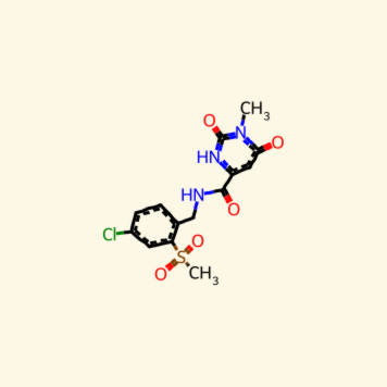 Cn1c(=O)cc(C(=O)NCc2ccc(Cl)cc2S(C)(=O)=O)[nH]c1=O